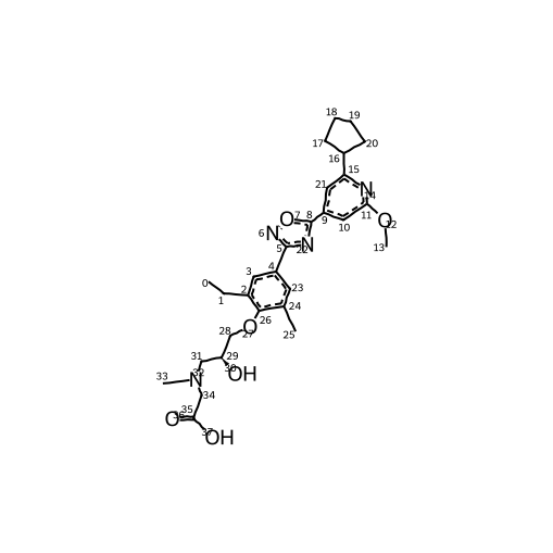 CCc1cc(-c2noc(-c3cc(OC)nc(C4CCCC4)c3)n2)cc(C)c1OC[C@@H](O)CN(C)CC(=O)O